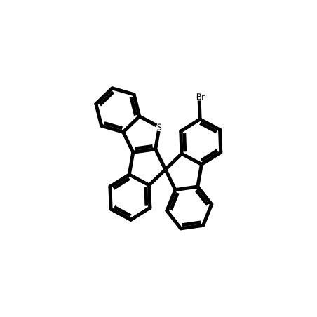 Brc1ccc2c(c1)C1(c3ccccc3-2)c2ccccc2-c2c1sc1ccccc21